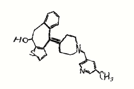 Cc1cncc(CN2CCC(=C3c4ccccc4CC(O)c4sccc43)CC2)c1